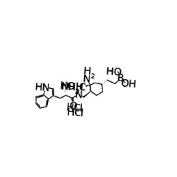 Cl.Cl.N[C@@H](Cc1c[nH]c2ccccc12)C(=O)NC[C@@H]1CC[C@@H](CCB(O)O)C[C@]1(N)C(=O)O